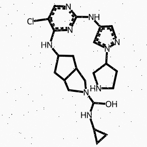 OC(NC1CC1)N1CC2CC(Nc3nc(Nc4cnn(C5CCNC5)c4)ncc3Cl)CC2C1